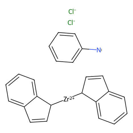 C1=C[CH]([Zr+2][CH]2C=Cc3ccccc32)c2ccccc21.[Cl-].[Cl-].[N]c1ccccc1